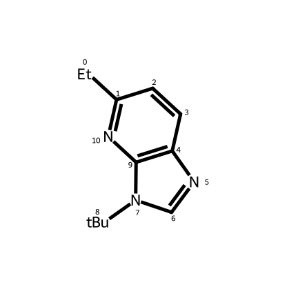 CCc1ccc2ncn(C(C)(C)C)c2n1